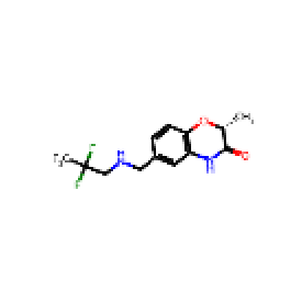 C[C@H]1Oc2ccc(CNCC(F)(F)C(F)(F)F)cc2NC1=O